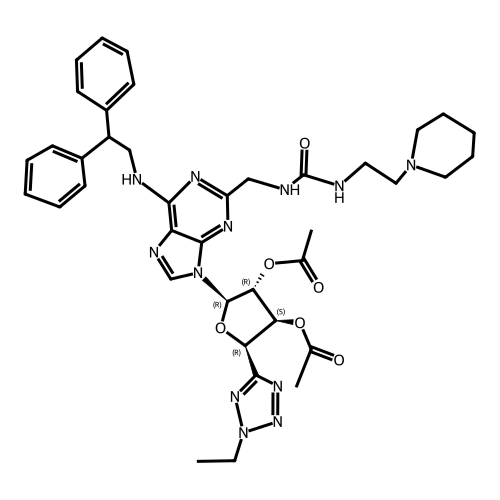 CCn1nnc([C@H]2O[C@@H](n3cnc4c(NCC(c5ccccc5)c5ccccc5)nc(CNC(=O)NCCN5CCCCC5)nc43)[C@H](OC(C)=O)[C@H]2OC(C)=O)n1